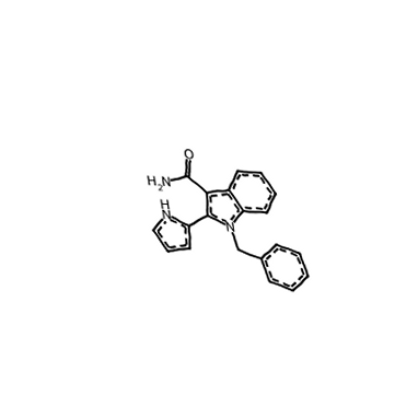 NC(=O)c1c(-c2ccc[nH]2)n(Cc2ccccc2)c2ccccc12